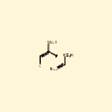 C=CC(=O)O.O=C(O)C(F)=CCl